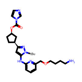 CC(C)(C)n1nc([C@H]2CC[C@@H](OC(=O)n3ccnc3)C2)cc1Nc1cccc(COCCCCN)n1